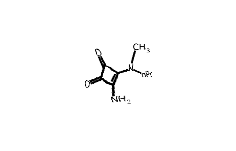 CCCN(C)c1c(N)c(=O)c1=O